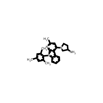 Cc1cc(C)c(-n2c3ccccc3c3c(N4CCC(N)C4)cc(C)nc32)c(C)c1